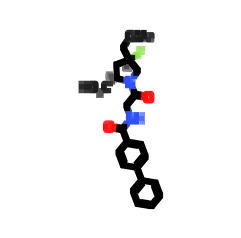 COC[C@@]1(F)C[C@@H](C(=O)O)N(C(=O)CNC(=O)c2ccc(-c3ccccc3)cc2)C1